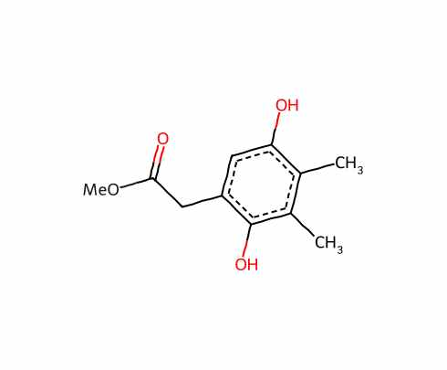 COC(=O)Cc1cc(O)c(C)c(C)c1O